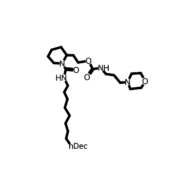 CCCCCCCCCCCCCCCCCCNC(=O)N1CCCCC1CCOC(=O)NCCCN1CCOCC1